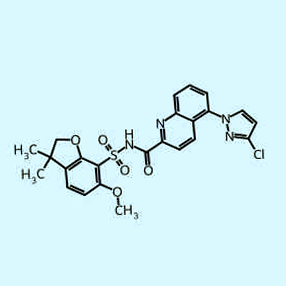 COc1ccc2c(c1S(=O)(=O)NC(=O)c1ccc3c(-n4ccc(Cl)n4)cccc3n1)OCC2(C)C